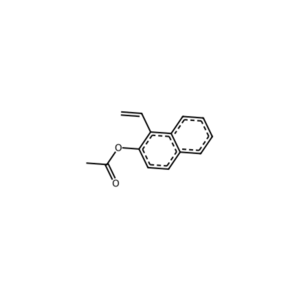 C=Cc1c(OC(C)=O)ccc2ccccc12